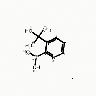 CC(C)(O)c1cccnc1B(O)O